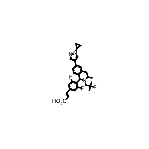 CC1Cc2cc(-c3cnn(C4CC4)c3)ccc2C(c2c(F)cc(/C=C/C(=O)O)cc2F)N1CC(C)(C)F